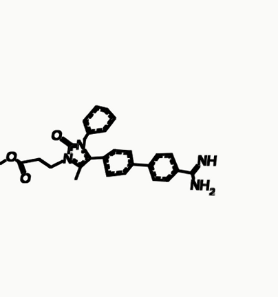 COC(=O)CCn1c(C)c(-c2ccc(-c3ccc(C(=N)N)cc3)cc2)n(-c2ccccc2)c1=O